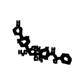 CC(C)(CC(C)(C)c1cnc(C2CCNC2)nc1)c1cnc(NC(=O)c2ccccc2)nc1